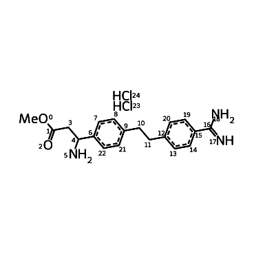 COC(=O)CC(N)c1ccc(CCc2ccc(C(=N)N)cc2)cc1.Cl.Cl